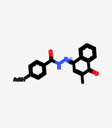 CC(=O)Nc1ccc(C(=O)N/N=C2\C=C(C)C(=O)c3ccccc32)cc1